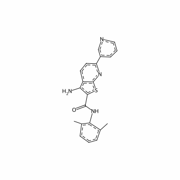 Cc1cccc(C)c1NC(=O)c1sc2nc(-c3cccnc3)ccc2c1N